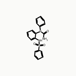 NC(=O)N(c1ccccc1)c1ccccc1NS(=O)(=O)c1ccccc1